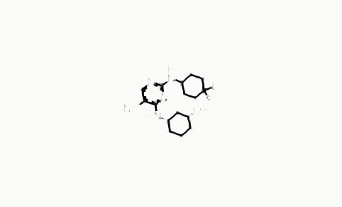 N#Cc1cnc(NC2CCC(F)(F)CC2)nc1N[C@@H]1CCC[C@H](O)C1